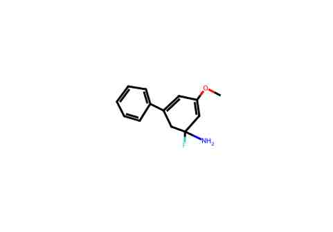 COC1=CC(N)(F)CC(c2ccccc2)=C1